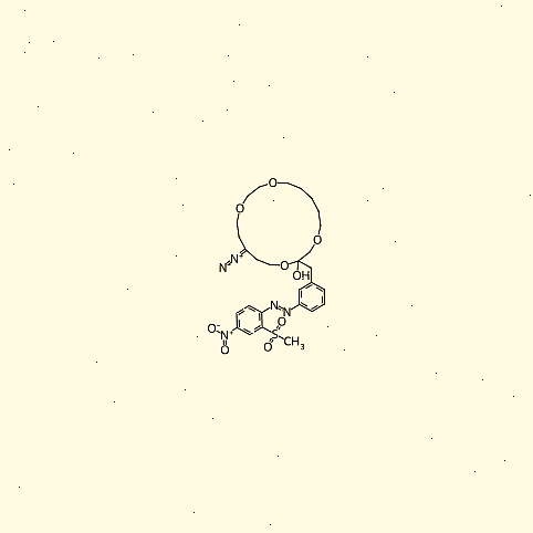 CS(=O)(=O)c1cc([N+](=O)[O-])ccc1N=Nc1cccc(CC2(O)COCCCCCOCCOCCC(=[N+]=[N-])CCO2)c1